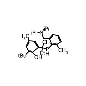 CCC(C)(Pc1c(C)cccc1CN(C(C)C)C(C)C)c1cc(C)cc(C(C)(C)C)c1O